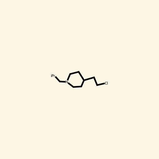 CC(C)CN1CCC(CCCl)CC1